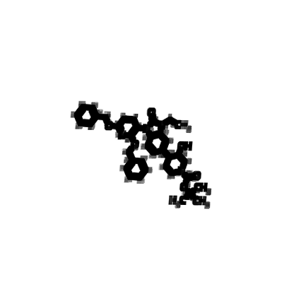 CCn1c(=O)n(-c2ccc(OCc3ccccc3)nc2OCc2ccccc2)c2ccc(C3CCN(C(=O)OC(C)(C)C)CC3O)cc21